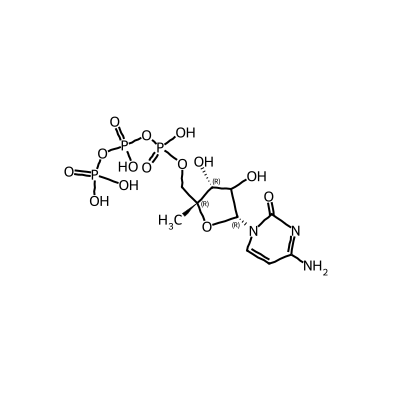 C[C@]1(COP(=O)(O)OP(=O)(O)OP(=O)(O)O)O[C@@H](n2ccc(N)nc2=O)C(O)[C@H]1O